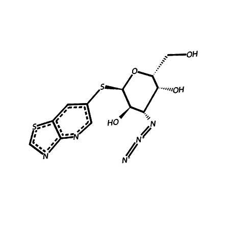 [N-]=[N+]=N[C@@H]1[C@@H](O)[C@@H](Sc2cnc3ncsc3c2)O[C@H](CO)[C@@H]1O